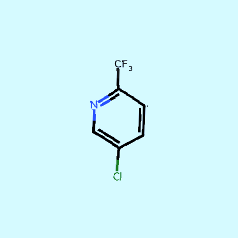 FC(F)(F)c1[c]cc(Cl)cn1